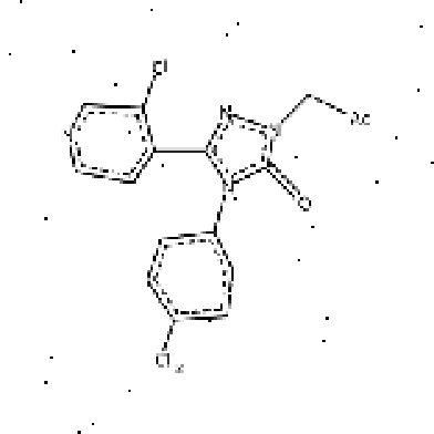 CC(=O)Cn1nc(-c2ccncc2Cl)n(-c2ccc(C(F)(F)F)cc2)c1=O